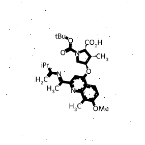 C=C(/N=C(\C)c1cc(O[C@H]2CN(C(=O)OC(C)(C)C)[C@H](C(=O)O)[C@@H]2C)c2ccc(OC)c(C)c2n1)C(C)C